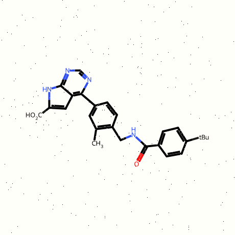 Cc1cc(-c2ncnc3[nH]c(C(=O)O)cc23)ccc1CNC(=O)c1ccc(C(C)(C)C)cc1